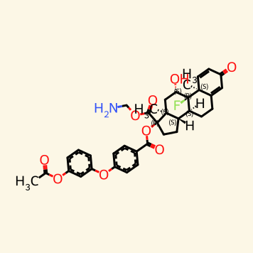 CC(=O)Oc1cccc(Oc2ccc(C(=O)O[C@]3(C(=O)OCN)CC[C@H]4[C@@H]5CCC6=CC(=O)C=C[C@]6(C)[C@@]5(F)[C@@H](O)C[C@@]43C)cc2)c1